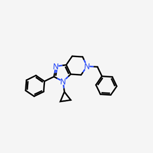 c1ccc(CN2CCc3nc(-c4ccccc4)n(C4CC4)c3C2)cc1